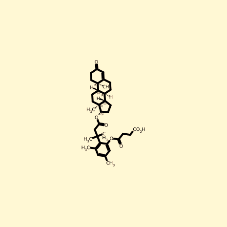 Cc1cc(C)c(C(C)(C)CC(=O)O[C@H]2CC[C@H]3[C@@H]4CCC5=CC(=O)CC[C@]5(C)[C@H]4CC[C@]23C)c(OC(=O)CCC(=O)O)c1